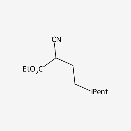 CCCC(C)CCC(C#N)C(=O)OCC